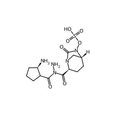 N[C@@H]1CCCC1C(=O)N(N)C(=O)[C@@H]1CC[C@@H]2CN1C(=O)N2OS(=O)(=O)O